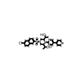 CC(O)C1CN(S(=O)(=O)c2ccc3cc(Cl)ccc3c2)CC(C(C)O)N1c1ncc(-c2ccncc2)cn1